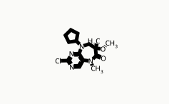 COC1(C)CN(C2CCCC2)c2nc(Cl)ncc2N(C)C1=O